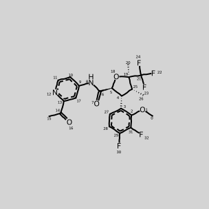 COc1c([C@@H]2[C@@H](C(=O)Nc3ccnc(C(C)=O)c3)O[C@@](C)(C(F)(F)F)[C@@H]2C)ccc(F)c1F